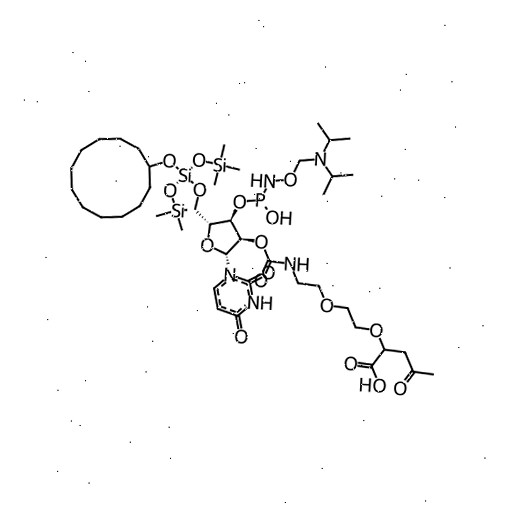 CC(=O)CC(OCCOCCNC(=O)O[C@@H]1[C@H](OP(O)NOCN(C(C)C)C(C)C)[C@@H](CO[Si](OC2CCCCCCCCCCC2)(O[Si](C)(C)C)O[Si](C)(C)C)O[C@H]1n1ccc(=O)[nH]c1=O)C(=O)O